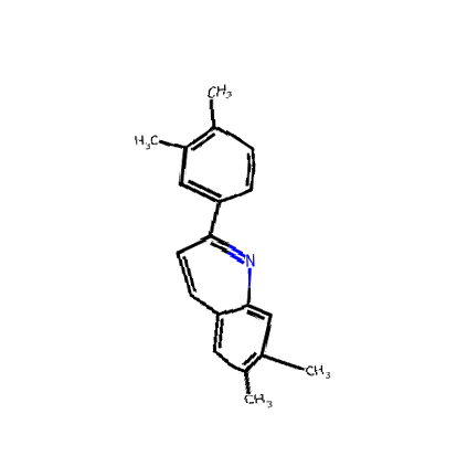 Cc1ccc(-c2ccc3cc(C)c(C)cc3n2)cc1C